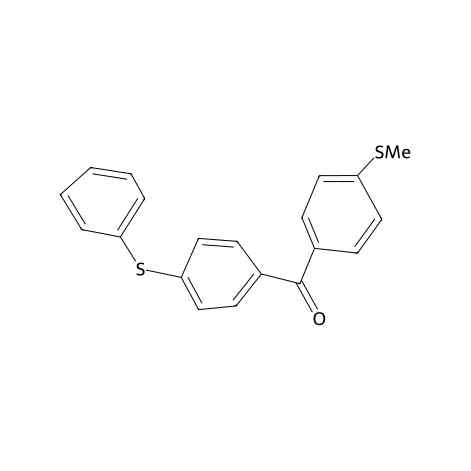 CSc1ccc(C(=O)c2ccc(Sc3ccccc3)cc2)cc1